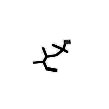 C=CC(C)C(C)CC(C)(C)O